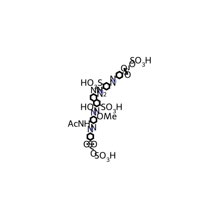 COc1cc(/N=N/c2ccc(S(=O)(=O)CCOS(=O)(=O)O)cc2)c(NC(C)=O)cc1/N=N/c1c(S(=O)(=O)O)cc2c(/N=N/c3ccc(/N=N/c4ccc(S(=O)(=O)CCOS(=O)(=O)O)cc4)cc3S(=O)(=O)O)c(N)ccc2c1O